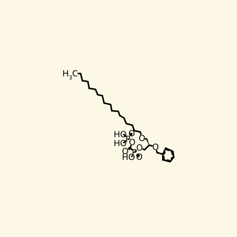 CCCCCCCCCCCCCCCCCCOC[C@H](COP(=O)(O)C(=O)OP(=O)(O)O)OCc1ccccc1